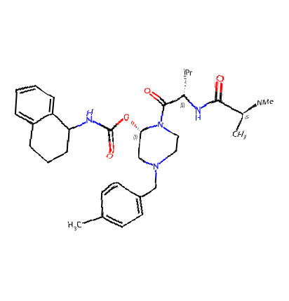 CN[C@@H](C)C(=O)N[C@H](C(=O)N1CCN(Cc2ccc(C)cc2)C[C@@H]1OC(=O)NC1CCCc2ccccc21)C(C)C